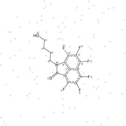 O=C1c2c(F)c(F)c(F)c3c(F)c(F)c(F)c(c23)N1CCCCO